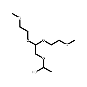 COCCOC(COC(C)O)OCCOC